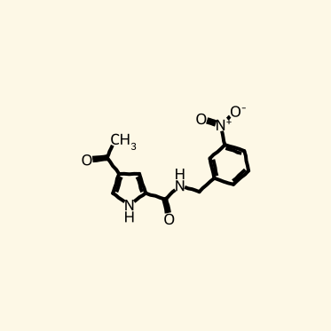 CC(=O)c1c[nH]c(C(=O)NCc2cccc([N+](=O)[O-])c2)c1